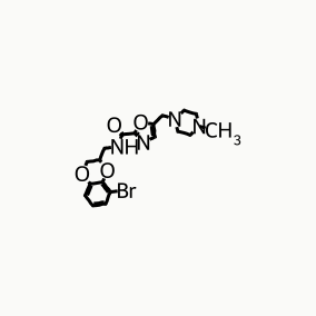 CN1CCN(Cc2cnc(C(=O)NCC3COc4cccc(Br)c4O3)o2)CC1